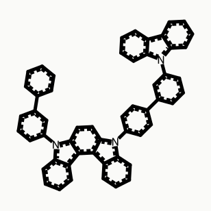 c1ccc(-c2cccc(-n3c4ccccc4c4c5c6ccccc6n(-c6ccc(-c7cccc(-n8c9ccccc9c9ccccc98)c7)cc6)c5ccc43)c2)cc1